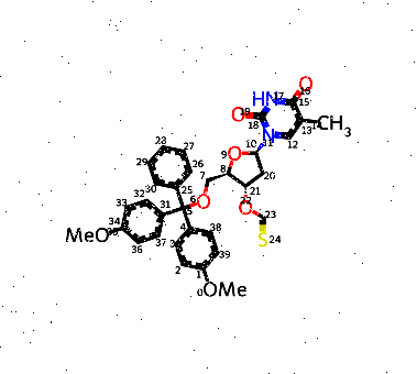 COc1ccc(C(OC[C@H]2O[C@@H](n3cc(C)c(=O)[nH]c3=O)C[C@@H]2OC=S)(c2ccccc2)c2ccc(OC)cc2)cc1